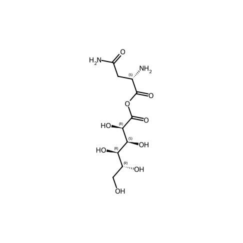 NC(=O)C[C@H](N)C(=O)OC(=O)[C@H](O)[C@@H](O)[C@H](O)[C@H](O)CO